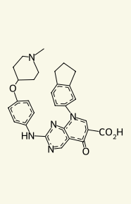 CN1CCC(Oc2ccc(Nc3ncc4c(=O)c(C(=O)O)cn(-c5ccc6c(c5)CCC6)c4n3)cc2)CC1